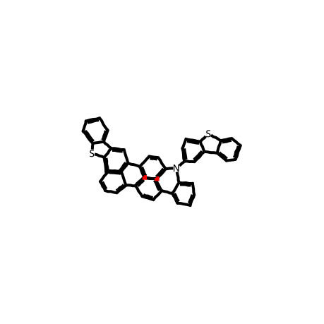 c1ccc(-c2ccc(-c3ccccc3N(c3ccc(-c4ccc5sc6ccccc6c5c4)cc3)c3ccc4sc5ccccc5c4c3)cc2)cc1